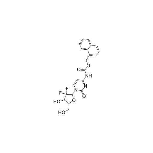 O=C(Nc1ccn(C2OC(CO)C(O)C2(F)F)c(=O)n1)OCc1cccc2ccccc12